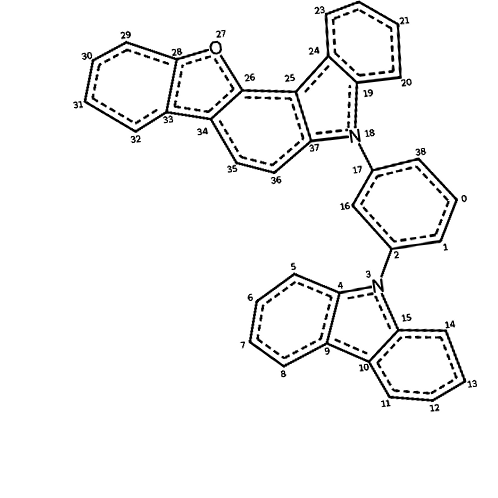 c1cc(-n2c3ccccc3c3ccccc32)cc(-n2c3ccccc3c3c4oc5ccccc5c4ccc32)c1